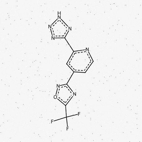 FC(F)(F)c1nc(-c2ccnc(-c3nn[nH]n3)c2)no1